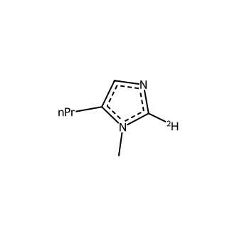 [2H]c1ncc(CCC)n1C